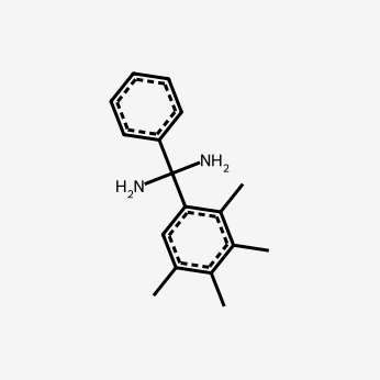 Cc1cc(C(N)(N)c2ccccc2)c(C)c(C)c1C